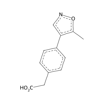 Cc1oncc1-c1ccc(CC(=O)O)cc1